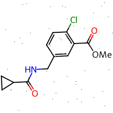 COC(=O)c1cc(CNC(=O)C2CC2)ccc1Cl